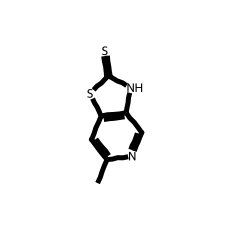 Cc1cc2sc(=S)[nH]c2cn1